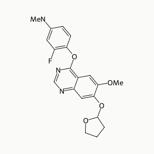 CNc1ccc(Oc2ncnc3cc(OC4CCCO4)c(OC)cc23)c(F)c1